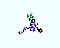 C[N+](C)(CCN)CCC[C@H](N)C(=O)N[C@H](CCc1ccccc1)C(=O)Nc1ccc(F)c(F)c1F.Cl.Cl.[Cl-]